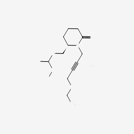 CCOC(C)OC[C@H]1CCCC(=O)N1CC#CCOCC#N.[H-].[Na+]